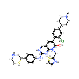 CN1CCC(c2ccc(-c3cc4cnc(Nc5ccc(C6CNCCS6)cc5)nc4n(Cc4nccs4)c3=O)c(Cl)c2)CC1